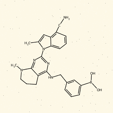 Cc1cc2c(CN)cccc2n1-c1nc(NCc2cccc(B(O)O)c2)c2c(n1)N(C)CCC2